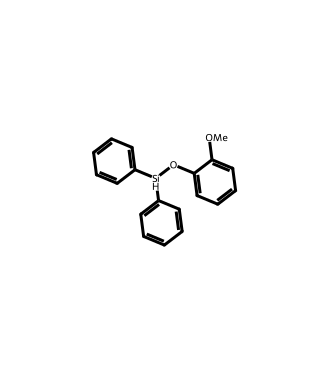 COc1ccccc1O[SiH](c1ccccc1)c1ccccc1